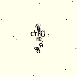 CC(NC(=O)c1cncc(Cc2ccc(Cn3ccccc3=O)nc2)c1)c1nn(C2CCCCO2)c2ccc(Cl)cc12